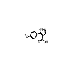 COc1ccc(-c2[nH]ncc2C(=O)O)cc1